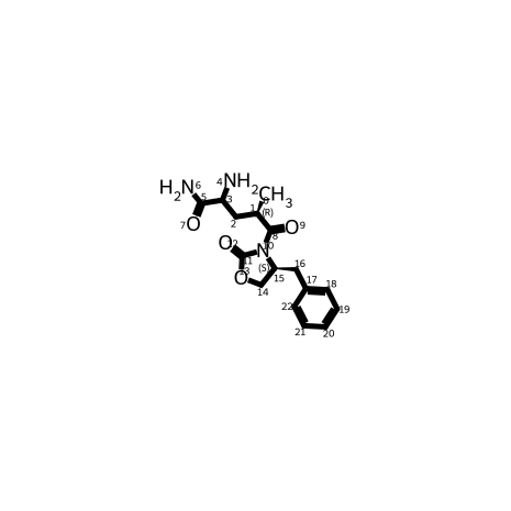 C[C@H](CC(N)C(N)=O)C(=O)N1C(=O)OC[C@@H]1Cc1ccccc1